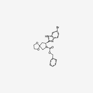 O=C(OCc1ccccc1)N1CC2(C[C@H]1c1nc3ccc(Br)cc3[nH]1)OCCO2